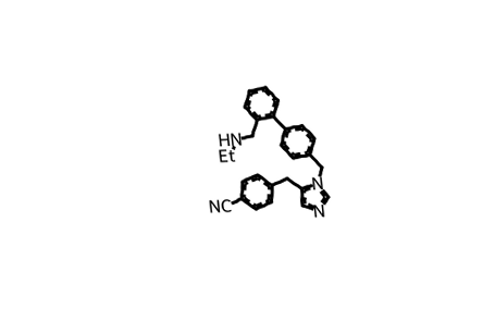 CCNCc1ccccc1-c1ccc(Cn2cncc2Cc2ccc(C#N)cc2)cc1